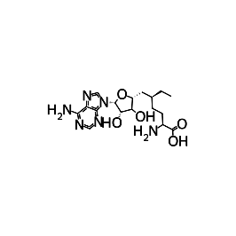 CC[C@@H](CCC(N)C(=O)O)C[C@H]1O[C@@H](n2cnc3c(N)ncnc32)[C@@H](O)C1O